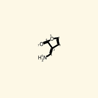 NC=C1C=COC1=O